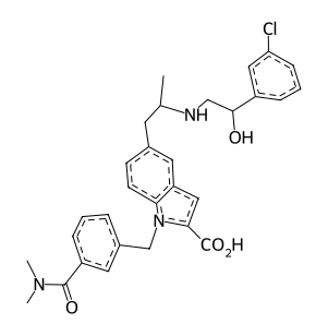 CC(Cc1ccc2c(c1)cc(C(=O)O)n2Cc1cccc(C(=O)N(C)C)c1)NCC(O)c1cccc(Cl)c1